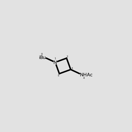 CCC(C)N1CC(NC(C)=O)C1